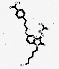 CCCCCCN1C(=O)/C(=N/NC(N)=O)c2cc(SCCCc3ccc(C(=O)O)cc3)ccc21